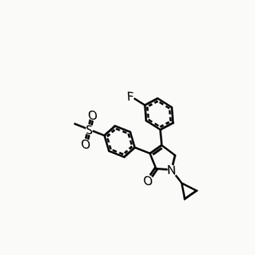 CS(=O)(=O)c1ccc(C2=C(c3cccc(F)c3)CN(C3CC3)C2=O)cc1